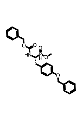 CO[PH](=O)[C@H](Cc1ccc(OCc2ccccc2)cc1)NC(=O)OCc1ccccc1